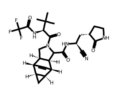 CC(C)(C)[C@H](NC(=O)C(F)(F)F)C(=O)N1C[C@@H]2[C@@H]3C=C[C@@H]([C@H]4C[C@@H]34)[C@@H]2C1C(=O)N[C@H](C#N)C[C@@H]1CCNC1=O